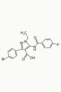 CCn1nc(-c2ccc(Br)cc2)c(C(=O)O)c1NC(=O)c1ccc(F)cc1